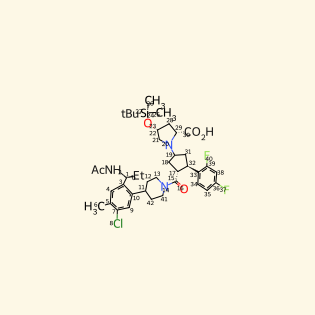 CC[C@H](NC(C)=O)c1cc(C)c(Cl)cc1C1CCN(C(=O)[C@@H]2CC(N3C[C@H](O[Si](C)(C)C(C)(C)C)C[C@@H]3C(=O)O)C[C@H]2c2ccc(F)cc2F)CC1